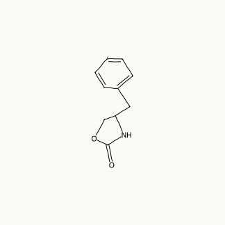 O=C1NC(Cc2cc[c]cc2)CO1